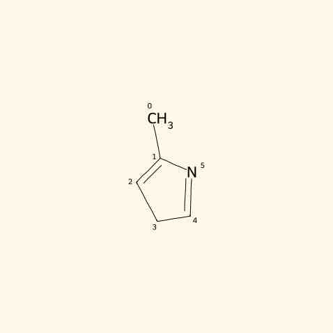 CC1=CCC=N1